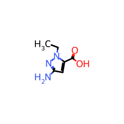 CCn1nc(N)cc1C(=O)O